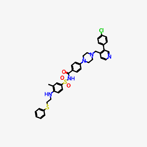 Cc1cc(S(=O)(=O)NC(=O)c2ccc(N3CCN(Cc4ccncc4-c4ccc(Cl)cc4)CC3)cc2)ccc1NCCSc1ccccc1